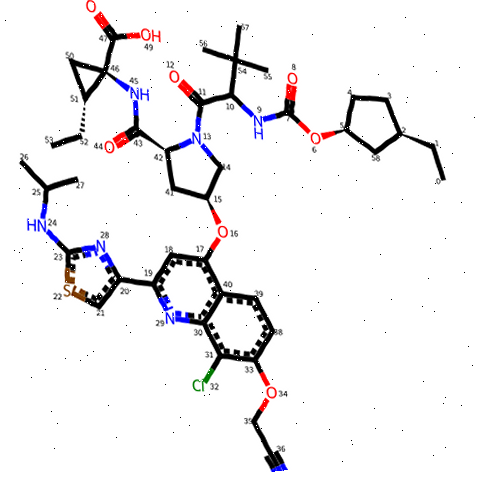 CC[C@@H]1CC[C@H](OC(=O)NC(C(=O)N2C[C@@H](Oc3cc(-c4csc(NC(C)C)n4)nc4c(Cl)c(OCC#N)ccc34)C[C@H]2C(=O)N[C@]2(C(=O)O)C[C@H]2CC)C(C)(C)C)C1